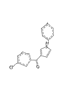 O=C(C1=C[SH](c2cc[c]cc2)C=C1)c1cccc(Cl)c1